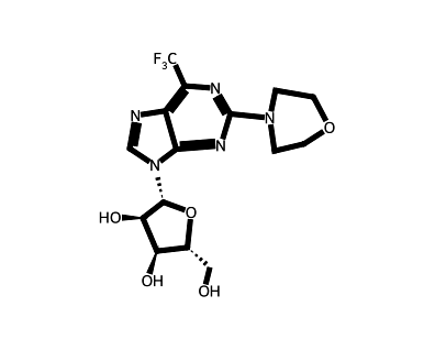 OC[C@H]1O[C@@H](n2cnc3c(C(F)(F)F)nc(N4CCOCC4)nc32)[C@H](O)[C@@H]1O